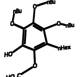 CCCCCCc1c(OC(=O)O)c(O)c(OCCCC)c(OCCCC)c1OCCCC